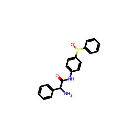 NC(C(=O)Nc1ccc([S+]([O-])c2ccccc2)cc1)c1ccccc1